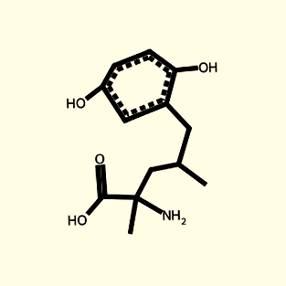 CC(Cc1cc(O)ccc1O)CC(C)(N)C(=O)O